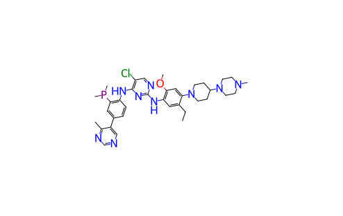 CCc1cc(Nc2ncc(Cl)c(Nc3ccc(-c4cncnc4C)cc3P(C)C)n2)c(OC)cc1N1CCC(N2CCN(C)CC2)CC1